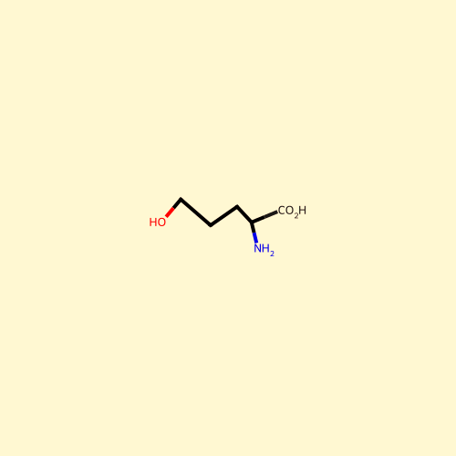 NC(CCCO)C(=O)O